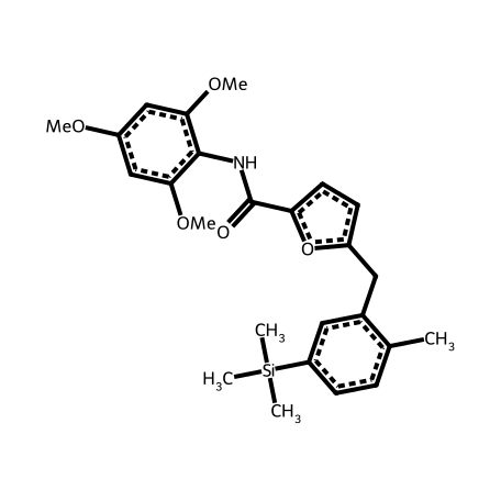 COc1cc(OC)c(NC(=O)c2ccc(Cc3cc([Si](C)(C)C)ccc3C)o2)c(OC)c1